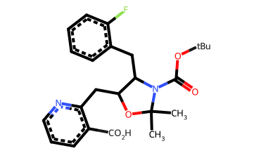 CC(C)(C)OC(=O)N1C(Cc2ccccc2F)C(Cc2ncccc2C(=O)O)OC1(C)C